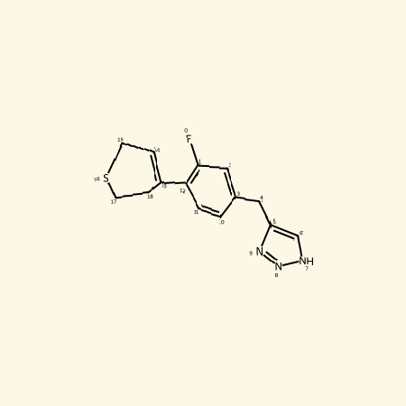 Fc1cc([CH]c2c[nH]nn2)ccc1C1=CCSCC1